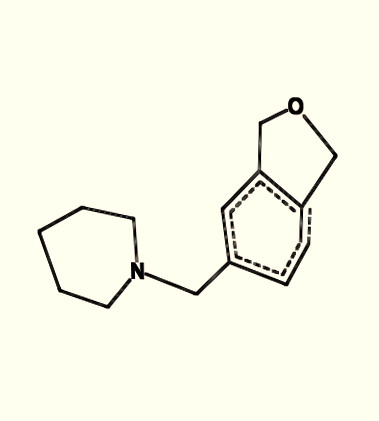 c1cc2c(cc1CN1CCCCC1)COC2